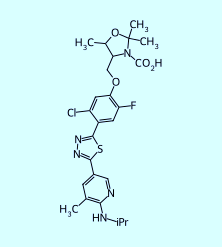 Cc1cc(-c2nnc(-c3cc(F)c(OCC4C(C)OC(C)(C)N4C(=O)O)cc3Cl)s2)cnc1NC(C)C